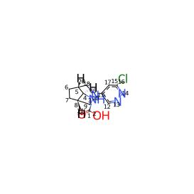 O=C(O)N[C@@H]1[C@@H]2CC[C@H]1CN(c1cnnc(Cl)c1)C2